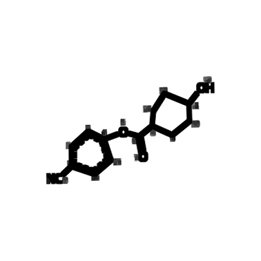 N#Cc1ccc(OC(=O)C2CCC(O)CC2)cc1